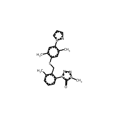 Cc1cc(-n2cccn2)c(C)cc1SCc1c(C)cccc1-n1nnn(C)c1=O